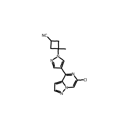 CC1(n2cc(-c3nc(Cl)cn4nccc34)cn2)CC(C#N)C1